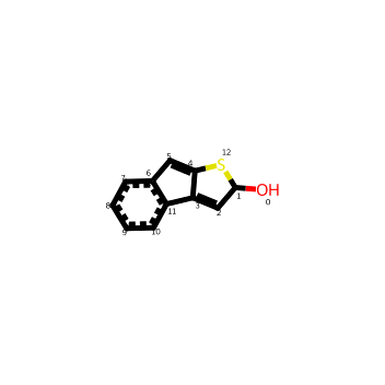 OC1C=C2C(=Cc3ccccc32)S1